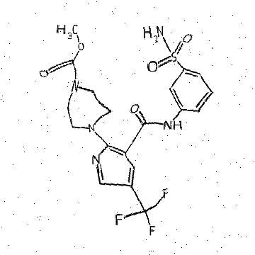 COC(=O)N1CCN(c2ncc(C(F)(F)F)cc2C(=O)Nc2cccc(S(N)(=O)=O)c2)CC1